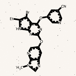 CCc1[nH]c2nc(Oc3cnc4c(c3)ncn4C)nc(Oc3cncc(C#N)c3)c2c1Br